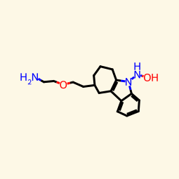 NCCOCCC1CCCc2c(c3ccccc3n2NO)C1